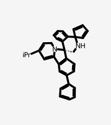 CC(C)C1=CCN2C(=C1)c1cc(-c3ccccc3)ccc1[C@@]21CNC2(C=CC=C2)c2ccccc21